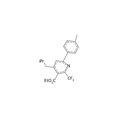 CCOC(=O)c1c(CC(C)C)cc(-c2ccc(C)cc2)nc1C(F)(F)F